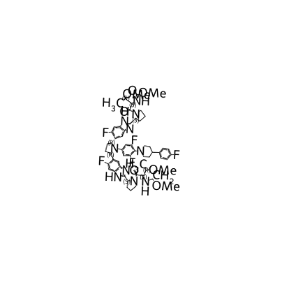 C=C(N[C@H](C(=O)N1CCC[C@H]1c1nc2cc([C@H]3CC[C@H](c4cc5nc([C@@H]6CCCN6C(=O)[C@@H](NC(=O)OC)[C@@H](C)OC)[nH]c5cc4F)N3c3cc(F)c(N4CCC(c5ccc(F)cc5)CC4)c(F)c3)c(F)cc2[nH]1)[C@@H](C)OC)OC